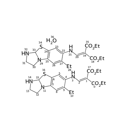 CCOC(=O)C(=CNc1cc2c(cc1CC)N1CCNC1S2)C(=O)OCC.CCOC(=O)C(=CNc1cc2c(cc1CC)N1CCNC1S2)C(=O)OCC.O